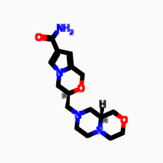 NC(=O)c1cc2n(c1)C[C@H](CN1CCN3CCOC[C@H]3C1)OC2